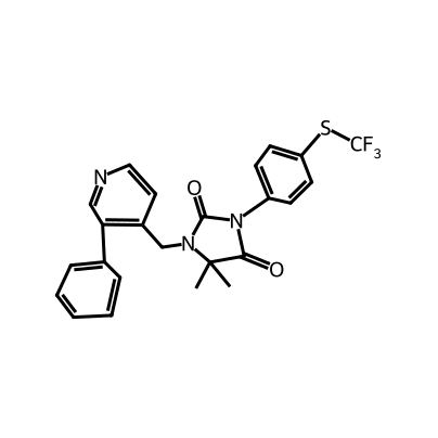 CC1(C)C(=O)N(c2ccc(SC(F)(F)F)cc2)C(=O)N1Cc1ccncc1-c1ccccc1